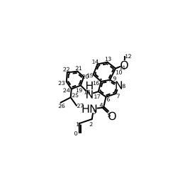 C=CCNC(=O)c1cnc2c(OC)cccc2c1Nc1ccccc1C(C)C